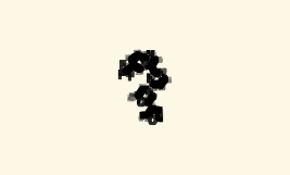 Cc1oncc1[C@@H]1CN(c2ccnc(-c3cnc4ccc(C(F)(F)F)cn34)n2)C[C@@H](C)O1